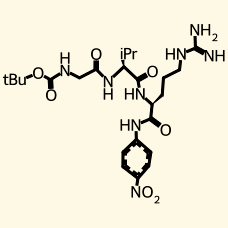 CC(C)[C@H](NC(=O)CNC(=O)OC(C)(C)C)C(=O)N[C@@H](CCCNC(=N)N)C(=O)Nc1ccc([N+](=O)[O-])cc1